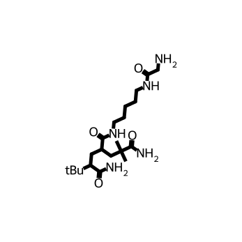 CC(C)(CC(CC(C(N)=O)C(C)(C)C)C(=O)NCCCCCNC(=O)CN)C(N)=O